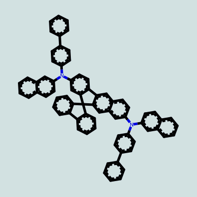 c1ccc(-c2ccc(N(c3ccc4c(c3)C3(c5ccccc5-c5ccccc53)c3cc5cc(N(c6ccc(-c7ccccc7)cc6)c6ccc7ccccc7c6)ccc5cc3-4)c3ccc4ccccc4c3)cc2)cc1